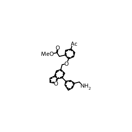 COC(=O)Cc1cc(C(C)=O)ccc1OCc1cc(-c2cccc(CN)c2)c2occc2c1